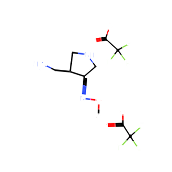 CON=C1CNCC1CN.O=C(O)C(F)(F)F.O=C(O)C(F)(F)F